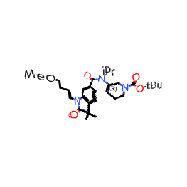 COCCCCN1C(=O)C(C)(C)c2ccc(C(=O)N(C(C)C)[C@@H]3CCCN(C(=O)OC(C)(C)C)C3)cc21